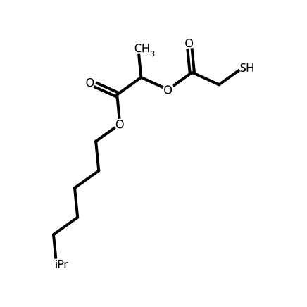 CC(C)CCCCCOC(=O)C(C)OC(=O)CS